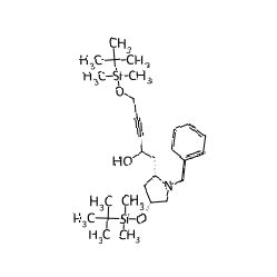 CC(C)(C)[Si](C)(C)OCC#CC(O)C[C@H]1C[C@@H](O[Si](C)(C)C(C)(C)C)CN1Cc1ccccc1